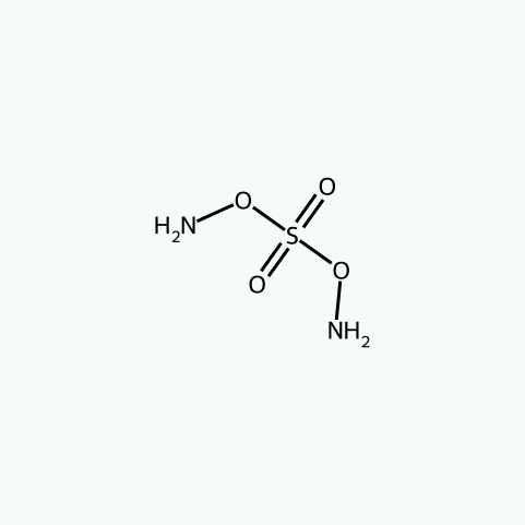 NOS(=O)(=O)ON